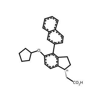 O=C(O)C[C@H]1CCc2c1ccc(OC1CCCC1)c2-c1ccc2ccccc2c1